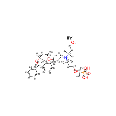 CC(C)OCCC(C)(C)N(C(C)CC(C)(C)OC(C)CC(C)(C)OC(c1ccccc1)c1ccccc1)C(C)(C)CCOC(C)(C)P(=O)(O)O